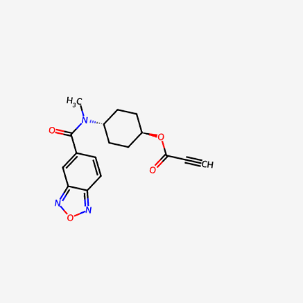 C#CC(=O)O[C@H]1CC[C@H](N(C)C(=O)c2ccc3nonc3c2)CC1